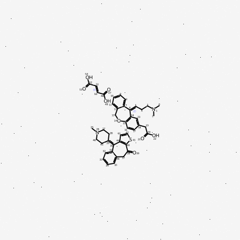 CN(C)CC/C=C1/c2ccccc2COc2ccc(CC(=O)O)cc21.CN1CCC(=C2c3ccccc3CC(=O)c3sccc32)CC1.O=C(O)/C=C/C(=O)O